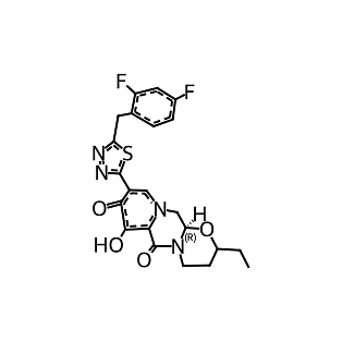 CCC1CCN2C(=O)c3c(O)c(=O)c(-c4nnc(Cc5ccc(F)cc5F)s4)cn3C[C@H]2O1